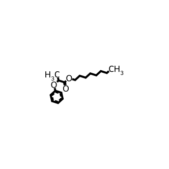 CCCCCCCCOC(=O)C(C)Oc1ccccc1